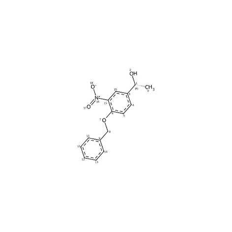 C[C@@H](O)c1ccc(OCc2ccccc2)c([N+](=O)[O-])c1